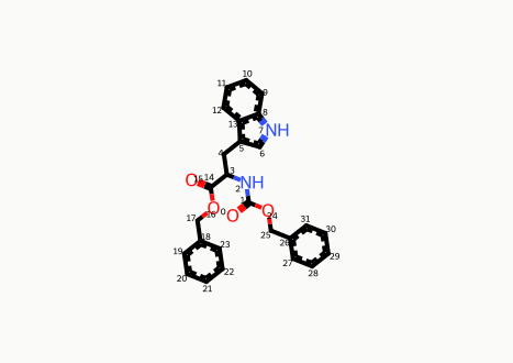 O=C(NC(Cc1c[nH]c2ccccc12)C(=O)OCc1ccccc1)OCc1ccccc1